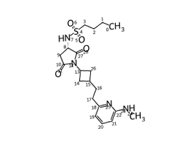 CCCCS(=O)(=O)N[C@H]1CC(=O)N(C2CC(CCc3cccc(NC)n3)C2)C1=O